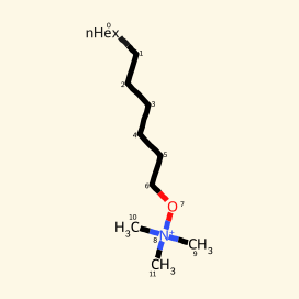 CCCCCCCCCCCCO[N+](C)(C)C